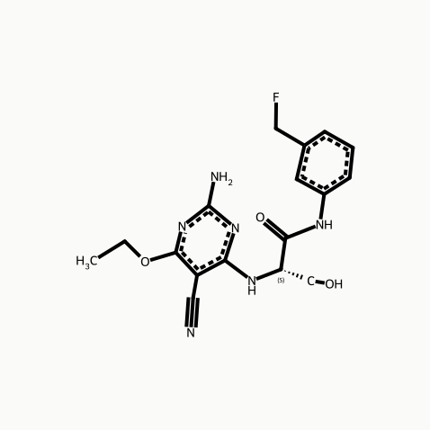 CCOc1nc(N)nc(N[C@@H](CO)C(=O)Nc2cccc(CF)c2)c1C#N